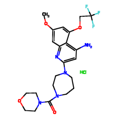 COc1cc(OCC(F)(F)F)c2c(N)cc(N3CCCN(C(=O)N4CCOCC4)CC3)nc2c1.Cl